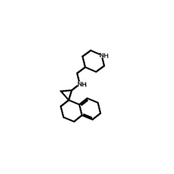 C1=C2CCCC3(CC3NCC3CCNCC3)C2=CCC1